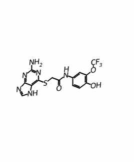 Nc1nc(SCC(=O)Nc2ccc(O)c(OC(F)(F)F)c2)c2[nH]cnc2n1